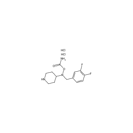 Cl.Cl.NC(=O)ON(Cc1ccc(F)c(F)c1)C1CCNCC1